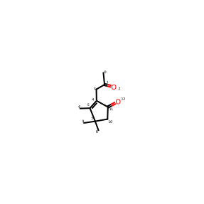 CC(=O)CC1=C(C)C(C)(C)CC1=O